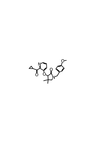 COc1ccc(CN2CC(C)(C)C(Oc3cccnc3C(=O)C3CC3)C2=O)cc1